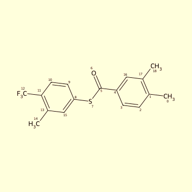 Cc1ccc(C(=O)Sc2ccc(C(F)(F)F)c(C)c2)cc1C